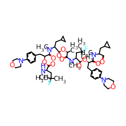 CNC(CC(C)(C)F)C(=O)OC(Cc1ccc(N2CCOCC2)cc1)C(=O)N(C)C(CC1CC1)C(=O)OC(C)C(=O)N(C)C(CC(C)(C)F)C(=O)OC(Cc1ccc(N2CCOCC2)cc1)C(=O)N(C)C(C=O)CC1CC1